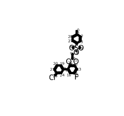 Cc1ccc(S(=O)(=O)OCC2Oc3cc(F)cc(-c4cccc(Cl)c4)c3O2)cc1